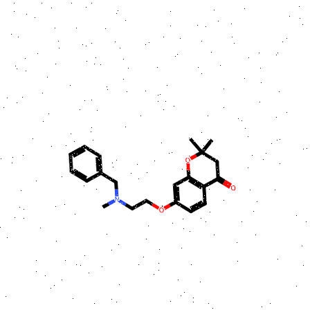 CN(CCOc1ccc2c(c1)OC(C)(C)CC2=O)Cc1ccccc1